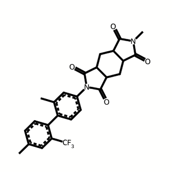 Cc1ccc(-c2ccc(N3C(=O)C4CC5C(=O)N(C)C(=O)C5CC4C3=O)cc2C)c(C(F)(F)F)c1